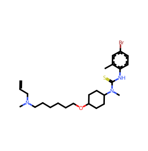 C=CCN(C)CCCCCCOC1CCC(N(C)C(=S)Nc2ccc(Br)cc2C)CC1